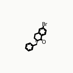 O=C1c2ccc(Br)cc2CC[C@@H]1Cc1ccccc1